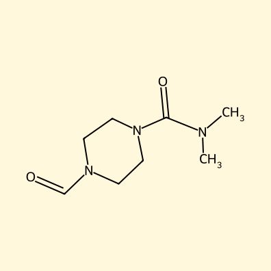 CN(C)C(=O)N1CCN(C=O)CC1